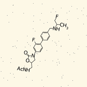 CC(=O)NCC1CN(c2ccc(-c3ccc(CNC(C)CF)cc3)c(F)c2)C(=O)O1